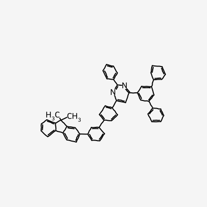 CC1(C)c2ccccc2-c2ccc(-c3cccc(-c4ccc(-c5cc(-c6cc(-c7ccccc7)cc(-c7ccccc7)c6)nc(-c6ccccc6)n5)cc4)c3)cc21